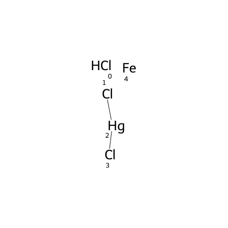 Cl.[Cl][Hg][Cl].[Fe]